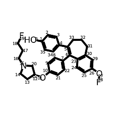 Oc1ccc(C2=C(c3ccc(O[C@H]4CCN(CCCF)C4)cc3)c3ccc(OF)cc3CCC2)cc1